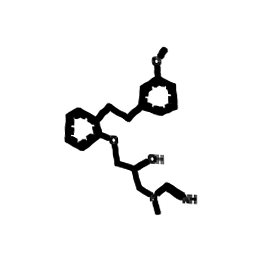 COc1cccc(CCc2ccccc2OCC(O)CN(C)C=N)c1